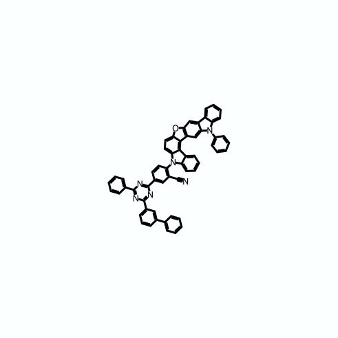 N#Cc1cc(-c2nc(-c3ccccc3)nc(-c3cccc(-c4ccccc4)c3)n2)ccc1-n1c2ccccc2c2c3c(ccc21)oc1cc2c4ccccc4n(-c4ccccc4)c2cc13